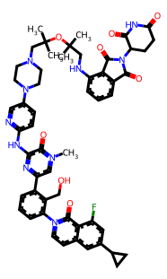 Cn1cc(-c2cccc(-n3ccc4cc(C5CC5)cc(F)c4c3=O)c2CO)nc(Nc2ccc(N3CCN(CC(C)(C)OC(C)(C)CNc4cccc5c4C(=O)N(C4CCC(=O)NC4=O)C5=O)CC3)cn2)c1=O